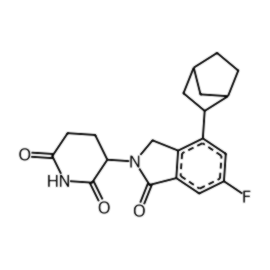 O=C1CCC(N2Cc3c(cc(F)cc3C3CC4CCC3C4)C2=O)C(=O)N1